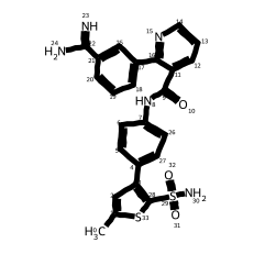 Cc1cc(-c2ccc(NC(=O)c3cccnc3-c3cccc(C(=N)N)c3)cc2)c(S(N)(=O)=O)s1